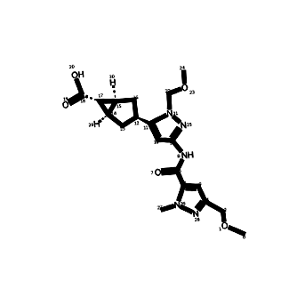 COCc1cc(C(=O)Nc2cc([C@H]3C[C@@H]4[C@H](C3)[C@H]4C(=O)O)n(COC)n2)n(C)n1